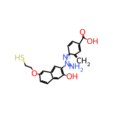 C=C1C=C(C(=O)O)C=C/C1=N/N(N)c1cc2cc(OCCS)ccc2cc1O